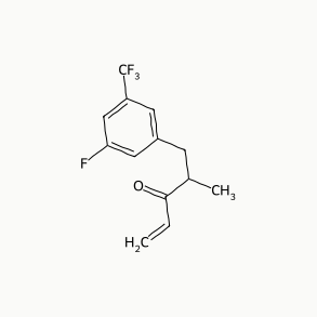 C=CC(=O)C(C)Cc1cc(F)cc(C(F)(F)F)c1